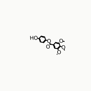 COc1cc(C(=O)Oc2ccc(O)cc2)cc(OC)c1OC